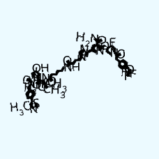 Cc1ncsc1-c1ccc(CNC(=O)[C@@H]2C[C@@H](O)CN2C(=O)[C@@H](NC(=O)CCCCCNC(=O)CCCn2cnc(-c3cnc(O[C@@H]4CCN(C(=O)Cc5ccc(OC(F)(F)F)cc5)C[C@H]4F)c(C(N)=O)c3)c2)C(C)(C)C)cc1